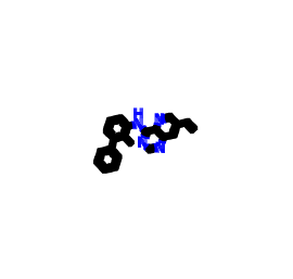 C=CC1=CC2N=CN=C(Nc3cccc(-c4ccccc4)c3C)C2N=C1